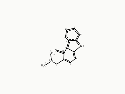 CN(C)CC1=CC=C2N=c3ccccc3=C2C1=O